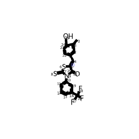 Cc1cc(/C=C2\SC(=S)N(c3cccc(C(F)(F)F)c3)C2=O)ccc1O